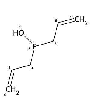 C=CCP(O)CC=C